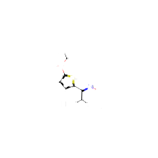 CCOc1ccc(C(=NO)C(C)C)s1